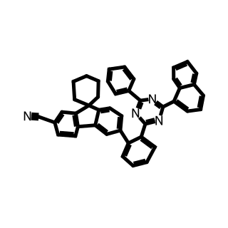 N#Cc1ccc2c(c1)C1(CCCCC1)c1ccc(-c3ccccc3-c3nc(-c4ccccc4)nc(-c4cccc5ccccc45)n3)cc1-2